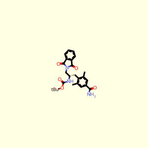 Cc1cc(C(N)=O)cc(C)c1C[C@@H](CN1C(=O)c2ccccc2C1=O)NC(=O)OC(C)(C)C